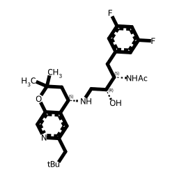 CC(=O)N[C@@H](Cc1cc(F)cc(F)c1)[C@H](O)CN[C@H]1CC(C)(C)Oc2cnc(CC(C)(C)C)cc21